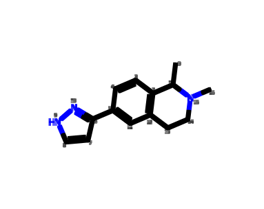 CC1c2ccc(-c3cc[nH]n3)cc2CCN1C